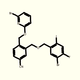 N#Cc1ccc(COc2cccc(Br)n2)c(COCc2cc(Br)c(F)cc2I)c1